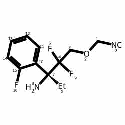 [C-]#[N+]COCC(F)(F)[C@@](N)(CC)c1ccccc1F